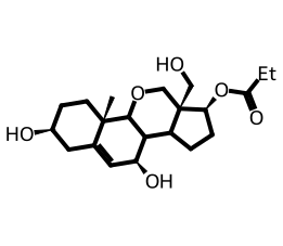 CCC(=O)O[C@H]1CCC2C3C(OC[C@@]21CO)[C@@]1(C)CC[C@H](O)CC1=C[C@@H]3O